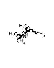 CCCCCc1cc(-c2nnc(-c3cc(C)nc(C)c3)s2)cc(C)n1